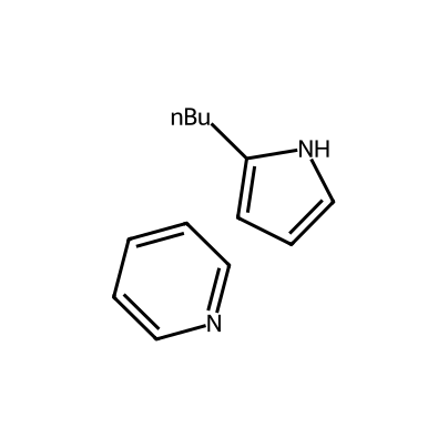 CCCCc1ccc[nH]1.c1ccncc1